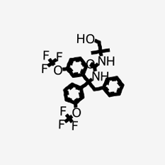 CC(C)(CO)NC(=O)NC(Cc1ccccc1)(c1cccc(OC(F)(F)F)c1)c1cccc(OC(F)(F)F)c1